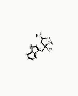 CC(N)CC(C)(O)Cc1c[nH]c2ccccc12